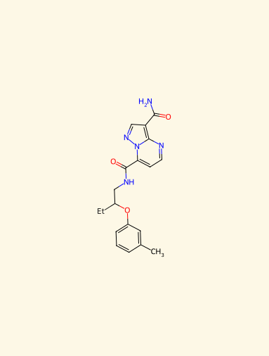 CCC(CNC(=O)c1ccnc2c(C(N)=O)cnn12)Oc1cccc(C)c1